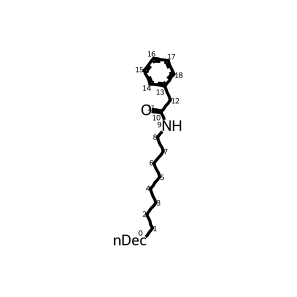 CCCCCCCCCCCCCCCCCCNC(=O)Cc1ccccc1